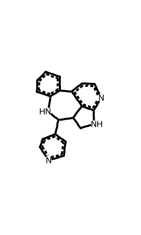 c1ccc2c(c1)NC(c1ccncc1)C1CNc3nccc-2c31